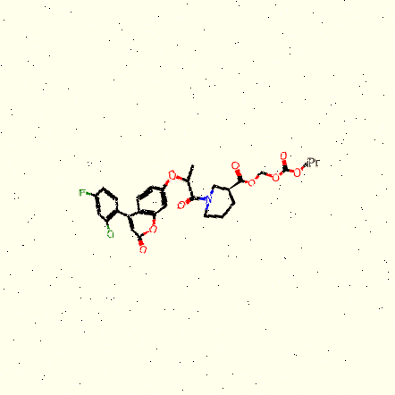 CC(C)OC(=O)OCOC(=O)[C@H]1CCCN(C(=O)C(C)Oc2ccc3c(-c4ccc(F)cc4Cl)cc(=O)oc3c2)C1